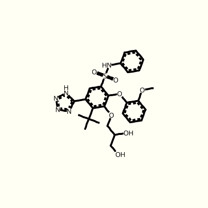 COc1ccccc1Oc1c(S(=O)(=O)Nc2ccccc2)cc(-c2nnn[nH]2)c(C(C)(C)C)c1OCC(O)CO